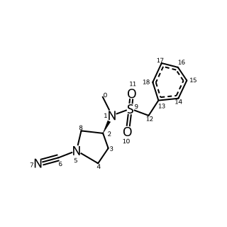 CN([C@H]1CCN(C#N)C1)S(=O)(=O)Cc1ccccc1